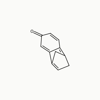 O=C1C=CC2=C3CC=C(C3)C2=C1